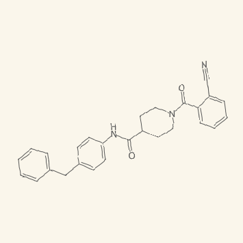 N#Cc1ccccc1C(=O)N1CCC(C(=O)Nc2ccc(Cc3ccccc3)cc2)CC1